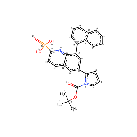 CC(C)(C)OC(=O)n1cccc1-c1cc(-c2cccc3ccccc23)c2nc(P(=O)(O)O)ccc2c1